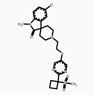 CN1C(=O)C2(CCN(CCOc3cnc(C4(S(C)(=O)=O)CCC4)nc3)CC2)c2cc(Cl)ccc21